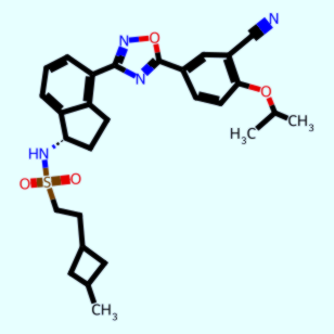 CC1CC(CCS(=O)(=O)N[C@H]2CCc3c(-c4noc(-c5ccc(OC(C)C)c(C#N)c5)n4)cccc32)C1